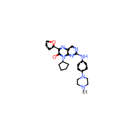 CCN1CCN(c2ccc(Nc3ncc4nc(-c5ccco5)c(=O)n(C5CCCC5)c4n3)cc2)CC1